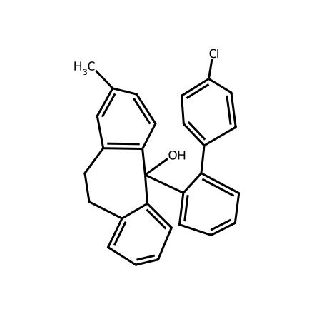 Cc1ccc2c(c1)CCc1ccccc1C2(O)c1ccccc1-c1ccc(Cl)cc1